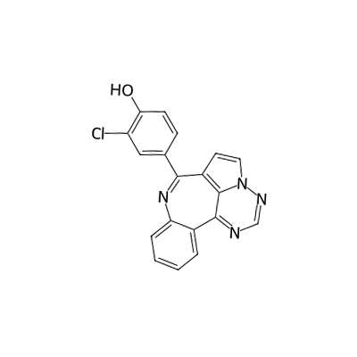 Oc1ccc(C2=Nc3ccccc3-c3ncnn4ccc2c34)cc1Cl